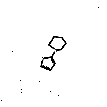 [CH]1CCN(c2cccs2)CC1